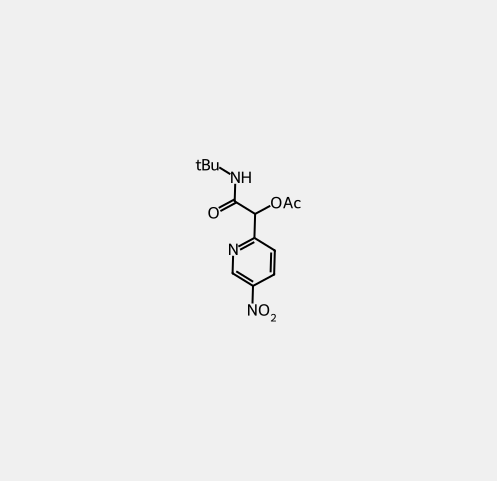 CC(=O)OC(C(=O)NC(C)(C)C)c1ccc([N+](=O)[O-])cn1